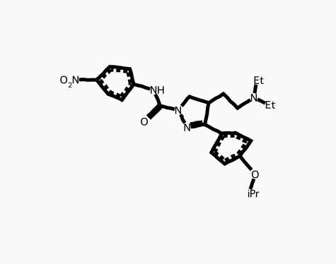 CCN(CC)CCC1CN(C(=O)Nc2ccc([N+](=O)[O-])cc2)N=C1c1ccc(OC(C)C)cc1